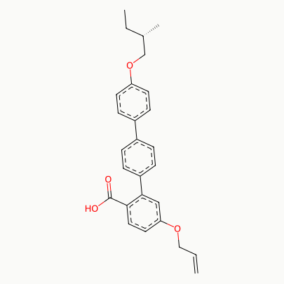 C=CCOc1ccc(C(=O)O)c(-c2ccc(-c3ccc(OC[C@@H](C)CC)cc3)cc2)c1